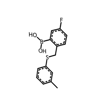 Cc1cccc(SCc2ccc(F)cc2B(O)O)c1